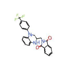 O=C1c2ccccc2C(=O)N1CC1CN(c2ccc(C(F)(F)F)cc2)c2ccccc2N1